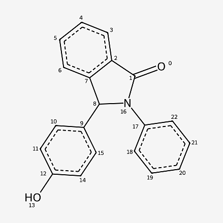 O=C1c2ccccc2C(c2ccc(O)cc2)N1c1ccccc1